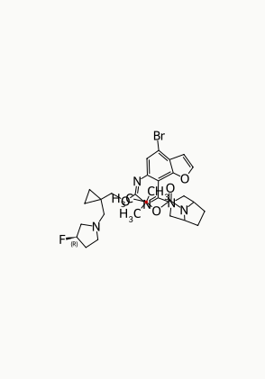 CC(C)(C)OC(=O)N1C2CCC1CN(c1nc(OCC3(CN4CC[C@@H](F)C4)CC3)nc3cc(Br)c4ccoc4c13)C2